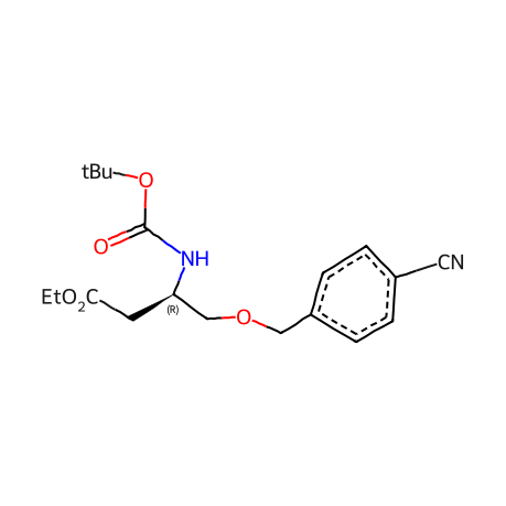 CCOC(=O)C[C@H](COCc1ccc(C#N)cc1)NC(=O)OC(C)(C)C